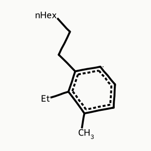 CCCCCCCCc1[c]ccc(C)c1CC